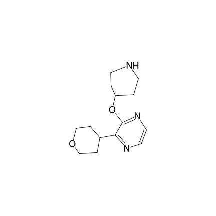 c1cnc(C2CCOCC2)c(OC2CCNCC2)n1